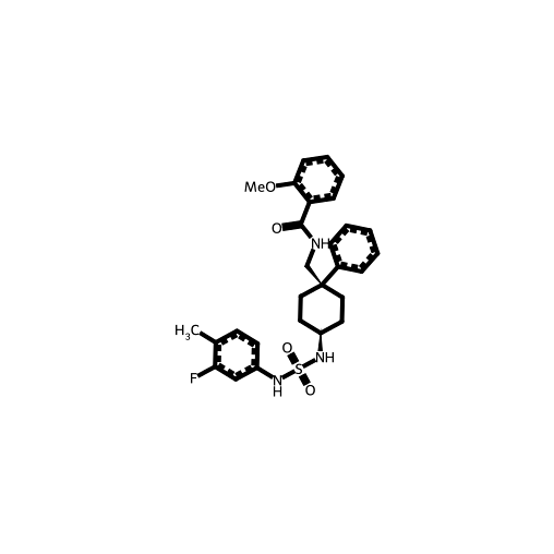 COc1ccccc1C(=O)NC[C@]1(c2ccccc2)CC[C@H](NS(=O)(=O)Nc2ccc(C)c(F)c2)CC1